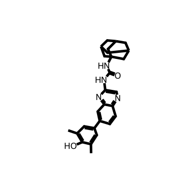 Cc1cc(-c2ccc3ncc(NC(=O)NC45CC6CC(CC(C6)C4)C5)nc3c2)cc(C)c1O